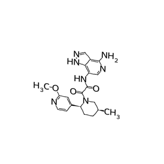 COc1cc([C@@H]2CC[C@H](C)CN2C(=O)C(=O)Nc2cnc(N)c3cn[nH]c23)ccn1